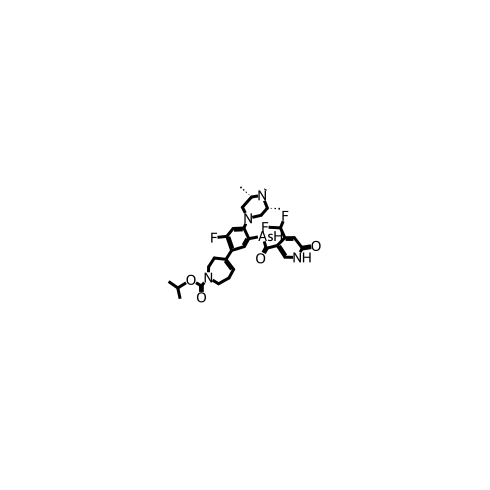 CC(C)OC(=O)N1CCC=C(c2cc([AsH]C(=O)c3c[nH]c(=O)cc3C(F)F)c(N3C[C@@H](C)N(C)[C@@H](C)C3)cc2F)CC1